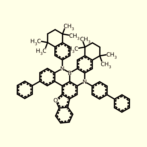 CC1(C)CCC(C)(C)c2cc(N3B4c5cc6c(cc5N(c5ccc(-c7ccccc7)cc5)c5cc7c(oc8ccccc87)c(c54)-c4cc(-c5ccccc5)ccc43)C(C)(C)CCC6(C)C)ccc21